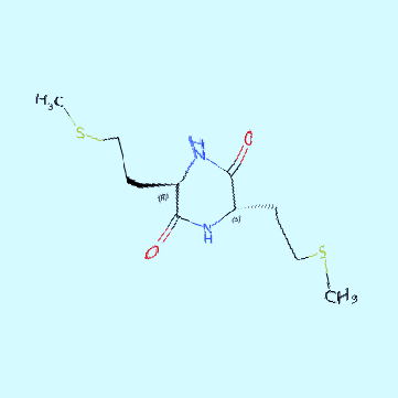 CSCC[C@@H]1NC(=O)[C@@H](CCSC)NC1=O